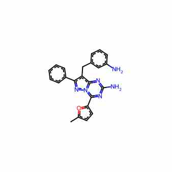 Cc1ccc(-c2nc(N)nc3c(Cc4cccc(N)c4)c(-c4ccccc4)nn23)o1